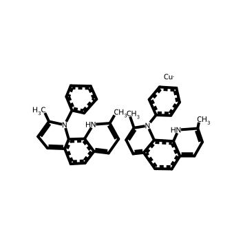 CC1=CC=c2ccc3c(c2N1)N(c1ccccc1)C(C)=CC=3.CC1=CC=c2ccc3c(c2N1)N(c1ccccc1)C(C)=CC=3.[Cu]